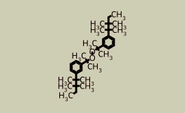 CCC(C)(C)C(C)(C)c1cccc(C(C)(C)OOC(C)(C)c2cccc(C(C)(C)C(C)(C)CC)c2)c1